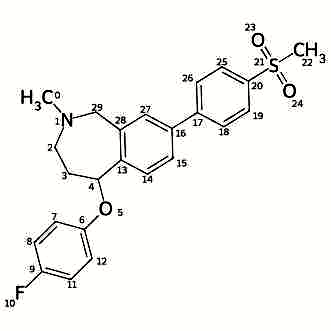 CN1CCC(Oc2ccc(F)cc2)c2ccc(-c3ccc(S(C)(=O)=O)cc3)cc2C1